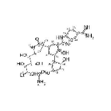 CC[C@H](O)[C@H](O)[C@@H](O)[C@H](O)CN(C)C(=O)C(C)(C)c1cc(-c2nc3cc(C(=N)N)ccc3[nH]2)c(O)c(-c2cc(OOSN)ccc2O)c1